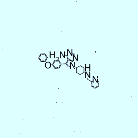 Nc1ncnc2c1c(-c1ccc(Oc3ccccc3)cc1)cn2[C@H]1CC[C@@H](NCc2ccccn2)CC1